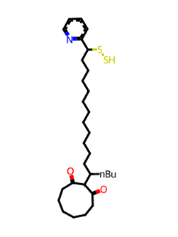 CCCCC(CCCCCCCCCCCC(SS)c1ccccn1)[C]1C(=O)CCCCCCC1=O